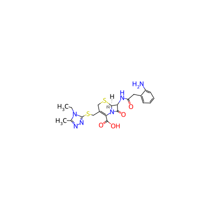 CCn1c(C)nnc1SCC1=C(C(=O)O)N2C(=O)C(NC(=O)Cc3ccccc3N)[C@@H]2SC1